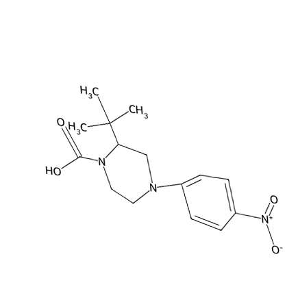 CC(C)(C)C1CN(c2ccc([N+](=O)[O-])cc2)CCN1C(=O)O